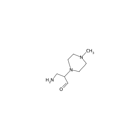 CN1CCN(C(C=O)CN)CC1